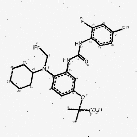 CC(C)CN(c1ccc(OC(C)(C)C(=O)O)cc1NC(=O)Nc1ccc(F)cc1F)C1CCCCC1